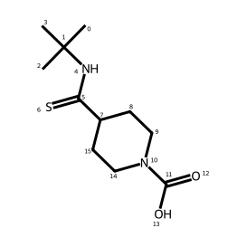 CC(C)(C)NC(=S)C1CCN(C(=O)O)CC1